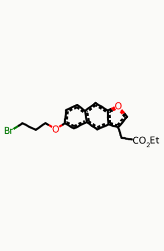 CCOC(=O)Cc1coc2cc3ccc(OCCCBr)cc3cc12